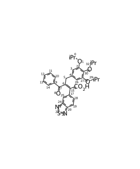 CC(C)Oc1cc(CC(C(=O)c2ccccc2)=C(C(=O)O)c2ccc3nsnc3c2)cc(OC(C)C)c1OC(C)C